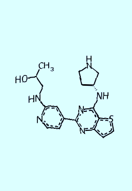 CC(O)CNc1cc(-c2nc(N[C@@H]3CCNC3)c3sccc3n2)ccn1